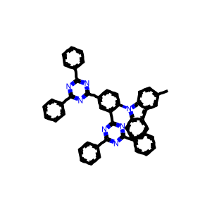 Cc1ccc2c(c1)c1ccccc1n2-c1ccc(-c2nc(-c3ccccc3)nc(-c3ccccc3)n2)cc1-c1nc(-c2ccccc2)nc(-c2ccccc2)n1